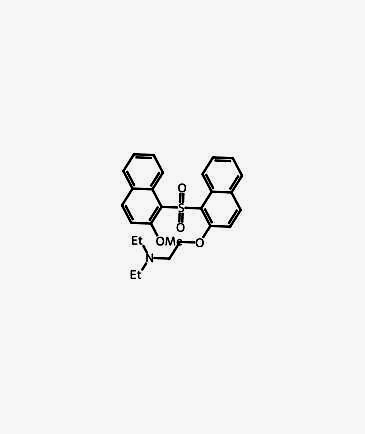 CCN(CC)CCOc1ccc2ccccc2c1S(=O)(=O)c1c(OC)ccc2ccccc12